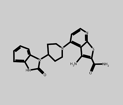 NC(=O)c1sc2nccc(N3CCC(n4c(=O)[nH]c5ccccc54)CC3)c2c1N